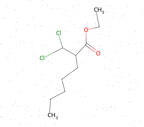 CCCCCC(C(=O)OCC)C(Cl)Cl